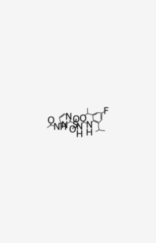 CC(=O)Nc1ccnc(S(=O)(=O)NC(=O)Nc2c(C(C)C)cc(F)cc2C(C)C)n1